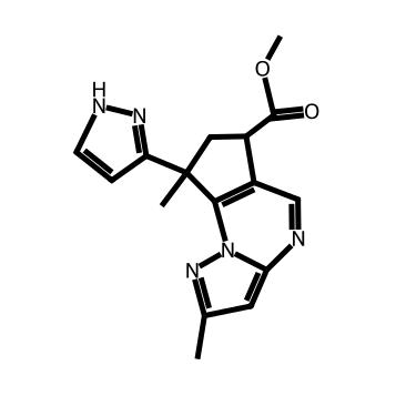 COC(=O)C1CC(C)(c2cc[nH]n2)c2c1cnc1cc(C)nn21